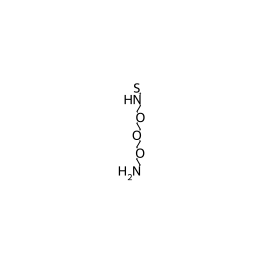 NCCOCCOCCOCCNC=S